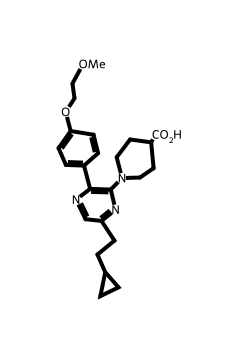 COCCOc1ccc(-c2ncc(CCC3CC3)nc2N2CCC(C(=O)O)CC2)cc1